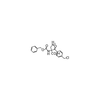 NCC(NC(=O)OCc1ccccc1)(C(=O)O)C(=O)c1ccc(CCl)cc1